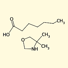 CC1(C)COCN1.CCCCCCC(=O)O